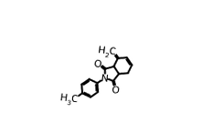 C=C1C=CCC2C(=O)N(c3ccc(C)cc3)C(=O)C12